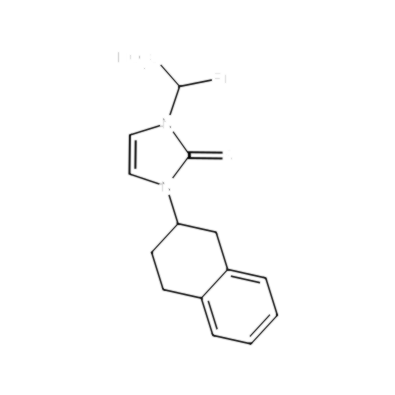 CCC(C(=O)O)n1ccn(C2CCc3ccccc3C2)c1=S